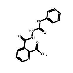 CC(=O)c1ncccc1C(=O)NNC(=O)Nc1ccccc1